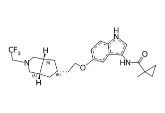 CC1(C(=O)Nc2c[nH]c3ccc(OCC[C@@H]4C[C@@H]5CN(CC(F)(F)F)C[C@@H]5C4)cc23)CC1